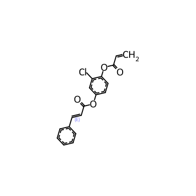 C=CC(=O)Oc1ccc(OC(=O)/C=C/c2ccccc2)cc1Cl